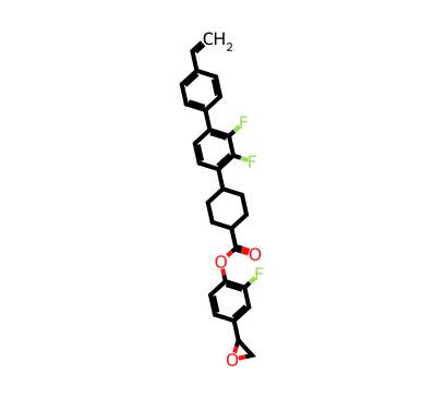 C=Cc1ccc(-c2ccc(C3CCC(C(=O)Oc4ccc(C5CO5)cc4F)CC3)c(F)c2F)cc1